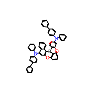 c1ccc(-c2ccc(N(c3ccccc3)c3cc4c(c5ccccc35)B3c5c(cccc5Oc5cc(N(c6ccccc6)c6ccc(-c7ccccc7)cc6)c6ccccc6c53)O4)cc2)cc1